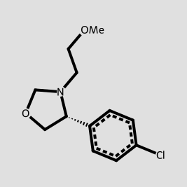 COCCN1COC[C@H]1c1ccc(Cl)cc1